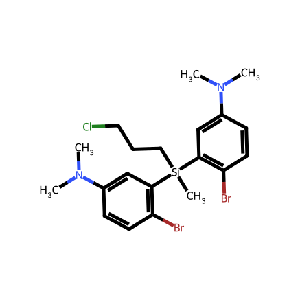 CN(C)c1ccc(Br)c([Si](C)(CCCCl)c2cc(N(C)C)ccc2Br)c1